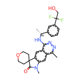 Cc1nnc(N[C@H](C)c2cccc(C(F)(F)CO)c2)c2cc3c(cc12)N(C)C(=O)C31CCOCC1